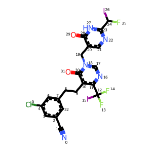 N#Cc1cc(Cl)cc(CCc2c(C(F)(F)I)ncn(Cc3cnc(C(F)I)[nH]c3=O)c2=O)c1